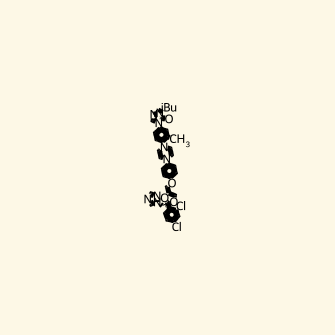 CCC(C)n1ncn(-c2ccc(N3CCN(c4ccc(OCC5CO[C@@](Cn6cncn6)(c6ccc(Cl)cc6Cl)O5)cc4)CC3)c(C)c2)c1=O